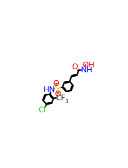 O=C(/C=C/c1cccc(S(=O)(=O)Nc2ccc(Cl)cc2C(F)(F)F)c1)NO